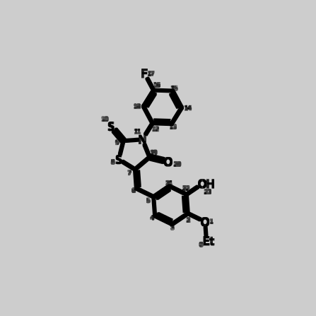 CCOc1ccc(C=C2SC(=S)N(c3cccc(F)c3)C2=O)cc1O